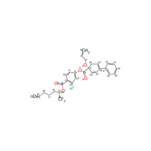 C=CCOC1(C(=O)Oc2ccc(C(=O)OC(CCCCCCCCCCCCC)C(F)(F)F)c(F)c2)C=CC(c2ccccc2)=CC1